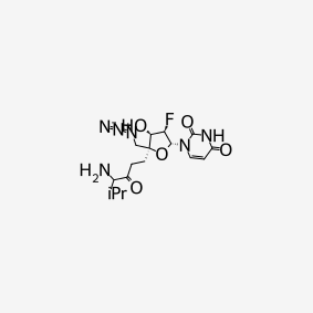 CC(C)C(N)C(=O)CC[C@@]1(CN=[N+]=[N-])O[C@@H](n2ccc(=O)[nH]c2=O)[C@H](F)[C@@H]1O